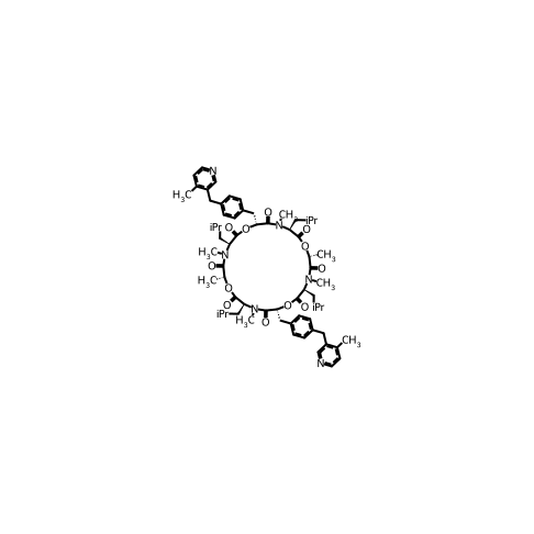 Cc1ccncc1Cc1ccc(C[C@H]2OC(=O)[C@H](CC(C)C)N(C)C(=O)[C@@H](C)OC(=O)[C@H](CC(C)C)N(C)C(=O)[C@@H](Cc3ccc(Cc4cnccc4C)cc3)OC(=O)[C@H](CC(C)C)N(C)C(=O)[C@@H](C)OC(=O)[C@H](CC(C)C)N(C)C2=O)cc1